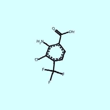 Nc1c(C(=O)O)ccc(C(F)(F)F)c1Cl